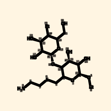 CCO[C@H]1OC(CSCCN)C(O[C@H]2OC(CO)C(CC)[C@H](O)C2O)[C@H](O)C1O